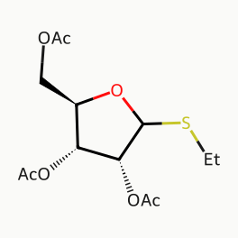 CCSC1O[C@H](COC(C)=O)[C@@H](OC(C)=O)[C@H]1OC(C)=O